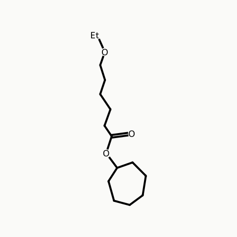 CCOCCCCCC(=O)OC1CCCCCC1